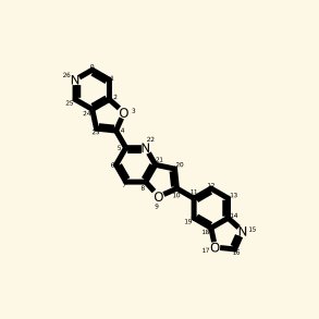 c1cc2oc(-c3ccc4oc(-c5ccc6ncoc6c5)cc4n3)cc2cn1